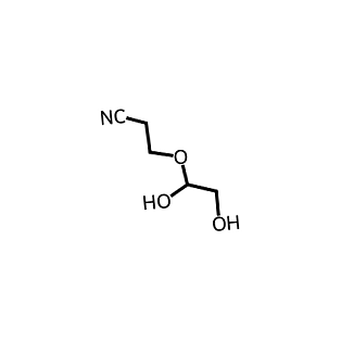 N#CCCOC(O)CO